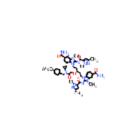 CCn1nc(C)cc1C(=O)N=c1n(C)c2cc(C(N)=O)ccc2n1CCC(CCn1c(=NC(=O)c2cc(C)nn2CC)n(C)c2cc(C(N)=O)ccc21)OCC(=O)N(Cc1ccc(OC)cc1)C1CC1